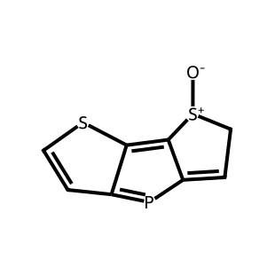 [O-][S+]1CC=C2P=c3ccsc3=C21